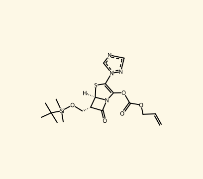 C=CCOC(=O)OC1=C(n2cncn2)S[C@@H]2[C@@H](CO[Si](C)(C)C(C)(C)C)C(=O)N12